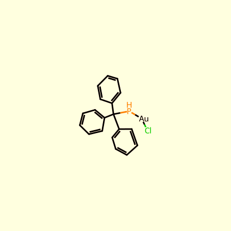 [Cl][Au][PH]C(c1ccccc1)(c1ccccc1)c1ccccc1